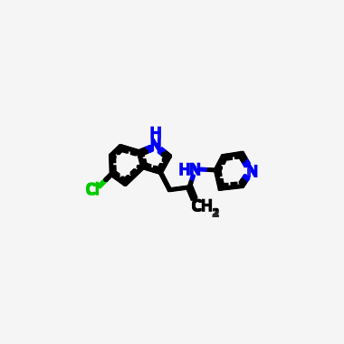 C=C(Cc1c[nH]c2ccc(Cl)cc12)Nc1ccncc1